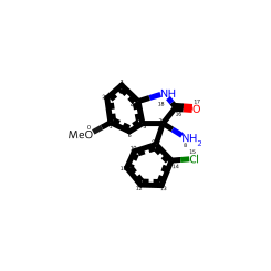 COc1ccc2c(c1)C(N)(c1ccccc1Cl)C(=O)N2